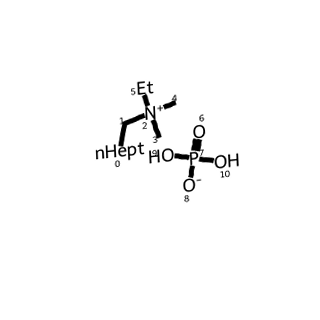 CCCCCCCC[N+](C)(C)CC.O=P([O-])(O)O